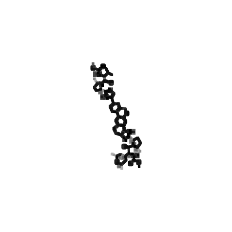 COC(=O)NC(C(=O)N1[C@@H](C)CC[C@H]1c1ncc(-c2ccc3c(c2)COc2cc4c(ccc5nc([C@@H]6CC[C@H](C)N6C(=O)[C@@H](NC(=O)OC)[C@H]6C[C@@H](C)O[C@@H](C)C6)[nH]c54)cc2-3)[nH]1)C(C)C